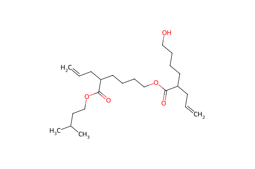 C=CCC(CCCCO)C(=O)OCCCCC(CC=C)C(=O)OCCC(C)C